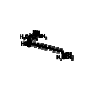 C[C@H](Cn1cnc2c(N)ncnc21)OCP(=O)(O)OCCCSCCCCCCCCCCCCC#C[Si](C)(C)C